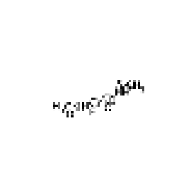 COC(=S)NC[C@H]1CN(c2ccc(N3CCN(C(C)=O)CC3)c(F)c2)C(=O)O1